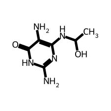 CC(O)Nc1nc(N)[nH]c(=O)c1N